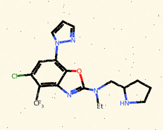 CCN(CC1CCCN1)c1nc2c(C(F)(F)F)c(Cl)cc(-n3cccn3)c2o1